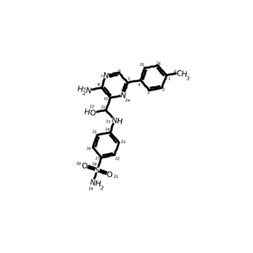 Cc1ccc(-c2cnc(N)c(C(O)Nc3ccc(S(N)(=O)=O)cc3)n2)cc1